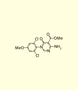 COC(=O)c1c(N)ncn(-c2c(Cl)cc(OC)cc2Cl)c1=O